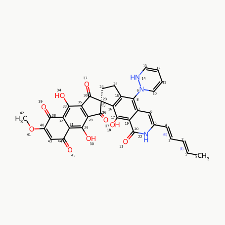 C/C=C/C=C/c1cc2c(N3C=CC=CN3)c3c(c(O)c2c(=O)[nH]1)[C@@]1(CC3)C(=O)c2c(O)c3c(c(O)c2C1=O)C(=O)C(OC)=CC3=O